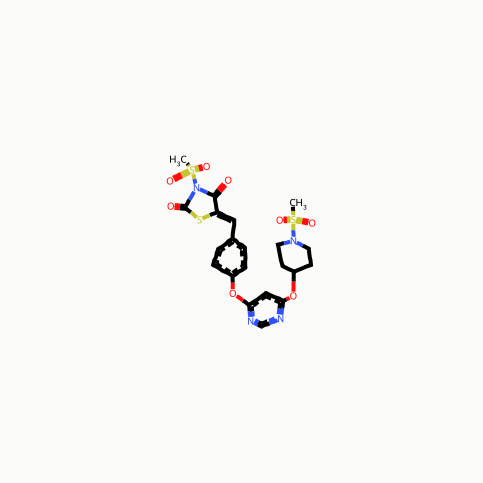 CS(=O)(=O)N1CCC(Oc2cc(Oc3ccc(C=C4SC(=O)N(S(C)(=O)=O)C4=O)cc3)ncn2)CC1